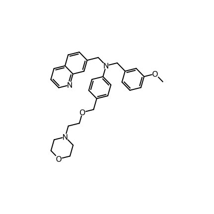 COc1cccc(CN(Cc2ccc3cccnc3c2)c2ccc(COCCN3CCOCC3)cc2)c1